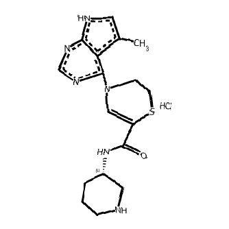 Cc1c[nH]c2ncnc(N3C=C(C(=O)N[C@H]4CCCNC4)SCC3)c12.Cl